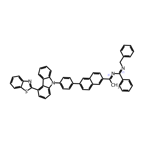 C/C(=N\C(=N/Cc1ccccc1)c1ccccc1)c1ccc2cc(-c3ccc(-n4c5ccccc5c5c(-c6nc7ccccc7s6)cccc54)cc3)ccc2c1